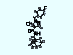 Cc1nn(Cc2ccc(F)cc2)c(Cl)c1C(=O)NCC12CC3CC(CC(C3)C1)C2